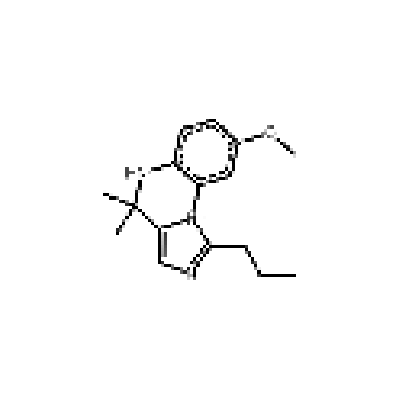 CCCC1=NC=C2[N+]1c1cc(OC)ccc1NC2(C)C